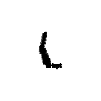 C=CCCCCCCCOc1ccc(-c2ccc(C3OCC(CCCCCCC)CO3)cc2)cc1